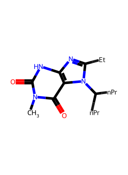 CCCC(CCC)n1c(CC)nc2[nH]c(=O)n(C)c(=O)c21